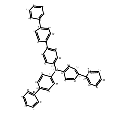 c1ccc(-c2ccc(-c3ccc(N(c4ccc(-c5ccccc5)cc4)c4ccc(-c5ccccn5)cc4)cc3)cc2)cc1